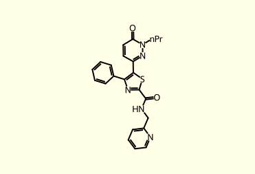 CCCn1nc(-c2sc(C(=O)NCc3ccccn3)nc2-c2ccccc2)ccc1=O